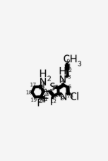 CC#CCNc1cc(Cl)nc2c(I)c([C@H]3[C@H](N)CCCC3(F)F)sc12